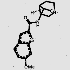 COc1ccc2cc(C(=O)N[C@@H]3CN4CCC3CC4)sc2c1